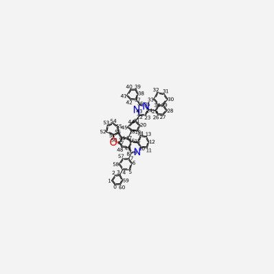 c1ccc(-c2ccc(-c3nc4ccccc4c4c(-c5ccc(-c6cc(-c7cccc8ccccc78)nc(-c7ccccc7)n6)cc5)c5c(cc34)oc3ccccc35)cc2)cc1